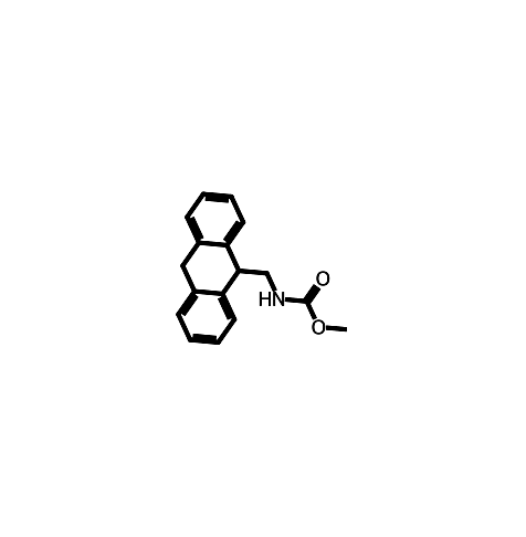 COC(=O)NCC1c2ccccc2Cc2ccccc21